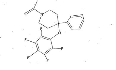 CC(=S)N1CCC(Oc2c(F)c(F)c(F)c(F)c2F)(c2ccccc2)CC1